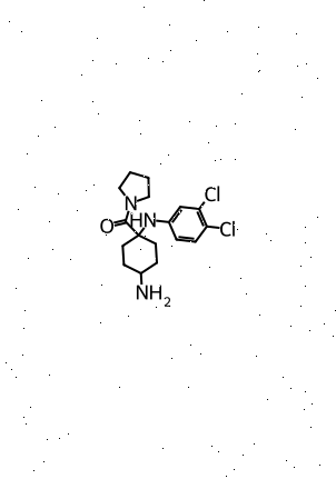 NC1CCC(Nc2ccc(Cl)c(Cl)c2)(C(=O)N2CCCC2)CC1